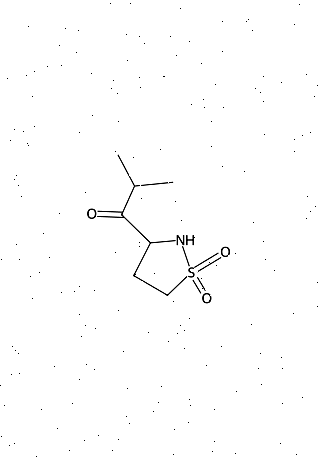 CC(C)C(=O)C1CCS(=O)(=O)N1